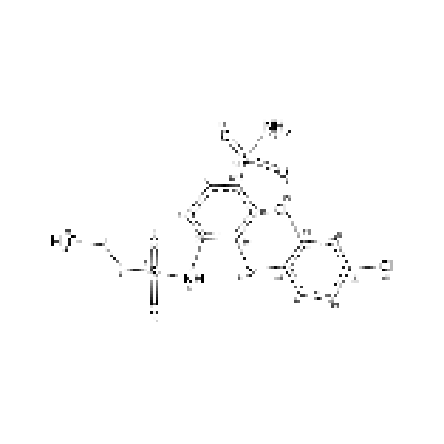 CCCS(=O)(=O)Nc1ccc(S(N)(=O)=O)cc1Sc1ccc(Cl)cc1Cl